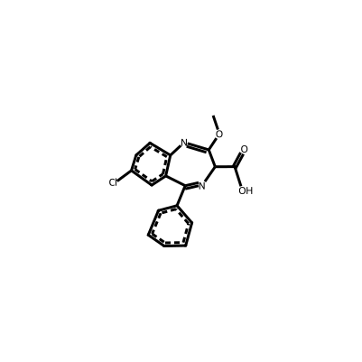 COC1=Nc2ccc(Cl)cc2C(c2ccccc2)=NC1C(=O)O